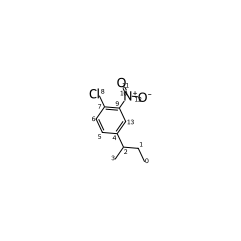 CCC(C)c1ccc(Cl)c([N+](=O)[O-])c1